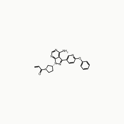 C=CC(=O)N1CC[C@@H](n2nc(-c3ccc(Oc4ccccc4)nc3)c3c(N)ncnc32)C1